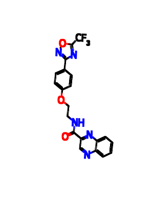 O=C(NCCOc1ccc(-c2noc(C(F)(F)F)n2)cc1)c1cnc2ccccc2n1